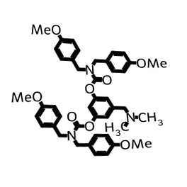 COc1ccc(CN(Cc2ccc(OC)cc2)C(=O)Oc2cc(CN(C)C)cc(OC(=O)N(Cc3ccc(OC)cc3)Cc3ccc(OC)cc3)c2)cc1